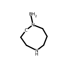 BN1CCCNCCC1